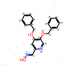 O/N=C/c1cc(OCc2ccccc2)c(OCc2ccccc2)cn1